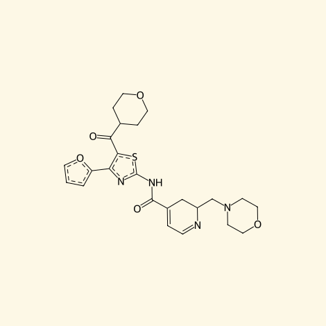 O=C(Nc1nc(-c2ccco2)c(C(=O)C2CCOCC2)s1)C1=CC=NC(CN2CCOCC2)C1